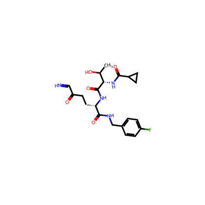 CC(O)[C@H](NC(=O)C1CC1)C(=O)N[C@@H](CCC(=O)C=N)C(=O)NCc1ccc(F)cc1